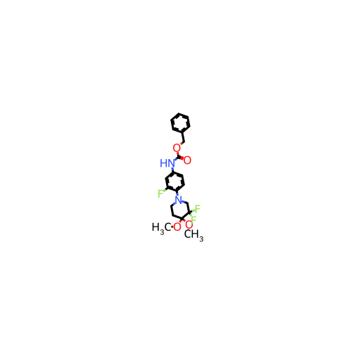 COC1(OC)CCN(c2ccc(NC(=O)OCc3ccccc3)cc2F)CC1(F)F